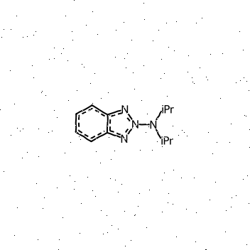 CC(C)N(C(C)C)n1nc2ccccc2n1